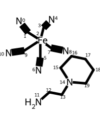 N#[C][Fe]([C]#N)([C]#N)([C]#N)[C]#N.NCCN1CCCCC1